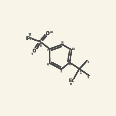 CCC(C)(C)c1ccc(S(=O)(=O)C(C)C)cc1